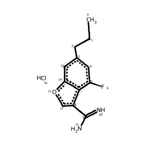 CCCc1cc(F)c2c(C(=N)N)coc2c1.Cl